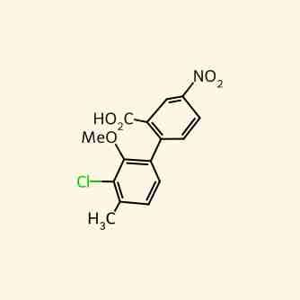 COc1c(-c2ccc([N+](=O)[O-])cc2C(=O)O)ccc(C)c1Cl